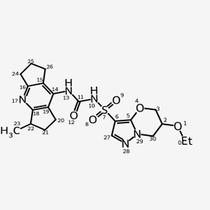 CCOC1COc2c(S(=O)(=O)NC(=O)Nc3c4c(nc5c3CCC5C)CCC4)cnn2C1